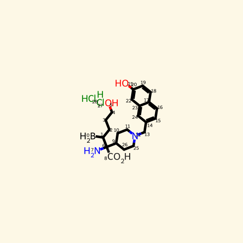 BC(CCCO)C(N)(C(=O)O)C1CCN(Cc2ccc3ccc(O)cc3c2)CC1.Cl.Cl